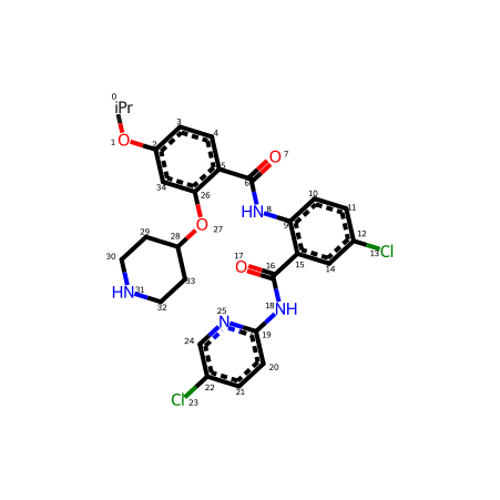 CC(C)Oc1ccc(C(=O)Nc2ccc(Cl)cc2C(=O)Nc2ccc(Cl)cn2)c(OC2CCNCC2)c1